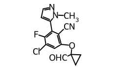 Cn1nccc1-c1c(F)c(Cl)cc(OC2(C=O)CC2)c1C#N